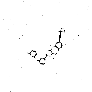 Cc1cccc(Oc2ccnc(C(=O)NC3COc4ccc(C#CC5(O)COC5)cc4N(C)C3=O)c2)n1